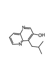 CC(C)Cc1c(O)cnc2cccnc12